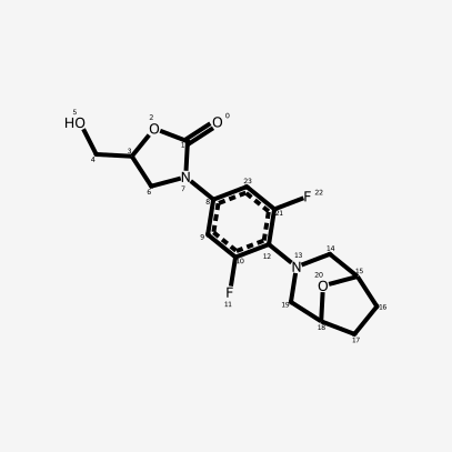 O=C1OC(CO)CN1c1cc(F)c(N2CC3CCC(C2)O3)c(F)c1